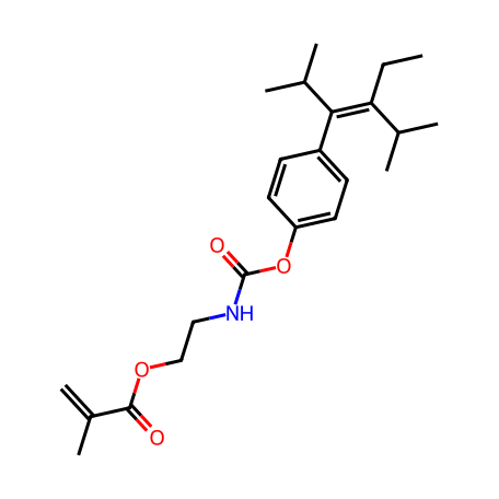 C=C(C)C(=O)OCCNC(=O)Oc1ccc(/C(=C(/CC)C(C)C)C(C)C)cc1